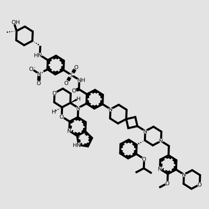 COc1ncc(CN2CCN(C3CC4(CCN(c5ccc(C(=O)NS(=O)(=O)c6ccc(NC[C@H]7CC[C@](C)(O)CC7)c([N+](=O)[O-])c6)c(N6c7cc8cc[nH]c8nc7O[C@H]7COCC[C@@H]76)c5)CC4)C3)[C@@H](c3ccccc3OC(C)C)C2)cc1N1CCOCC1